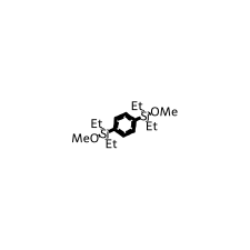 CC[Si](CC)(OC)c1ccc([Si](CC)(CC)OC)cc1